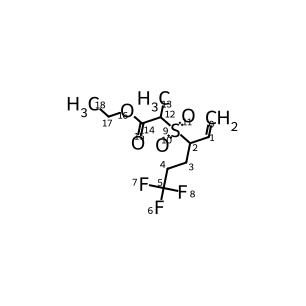 C=CC(CCC(F)(F)F)S(=O)(=O)C(C)C(=O)OCC